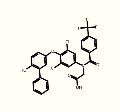 O=C(O)CN(C(=O)c1ccc(C(F)(F)F)cc1)c1cc(Cl)c(Oc2ccc(O)c(-c3ccccc3)c2)c(Cl)c1